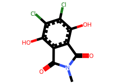 CN1C(=O)c2c(O)c(Cl)c(Cl)c(O)c2C1=O